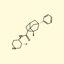 C[C@]12CC3CC1(C(=O)N[C@@H]1CCNC[C@H]1F)C[C@@](c1ccccc1)(C3)C2